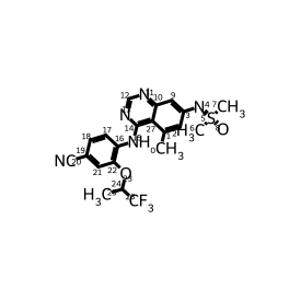 Cc1cc(N=S(C)(C)=O)cc2ncnc(Nc3ccc(C#N)cc3OC(C)C(F)(F)F)c12